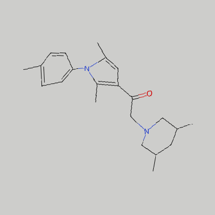 Cc1ccc(-n2c(C)cc(C(=O)CN3CC(C)CC(C)C3)c2C)cc1